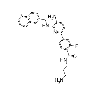 NCCCNC(=O)c1ccc(-c2ccc(N)c(NCc3ccc4ncccc4c3)n2)cc1F